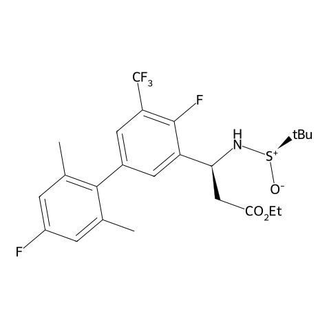 CCOC(=O)C[C@H](N[S@+]([O-])C(C)(C)C)c1cc(-c2c(C)cc(F)cc2C)cc(C(F)(F)F)c1F